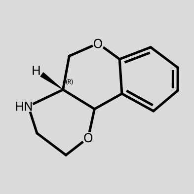 c1ccc2c(c1)OC[C@H]1NCCOC21